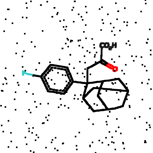 O=C(O)C(=O)CC1(c2ccc(F)cc2)C2CC3CC(C2)CC1C3